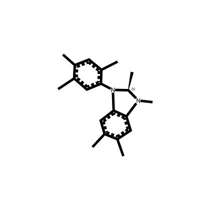 Cc1cc(C)c(N2c3cc(C)c(C)cc3N(C)[C@@H]2C)cc1C